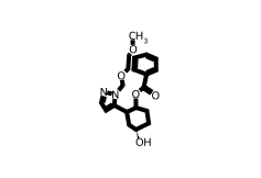 COCCOCn1nccc1C1C[C@@H](O)CCC1OC(=O)c1ccccc1